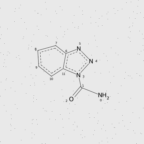 NC(=O)n1nnc2c[c]ccc21